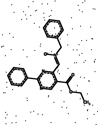 CCOC(=O)c1cnc(-c2ccccc2)nc1C=[N+]([O-])Cc1ccccc1